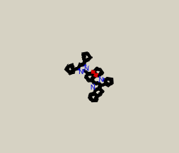 c1ccc(-c2cc(-c3ccccc3)nc(-c3ccc(-c4nc5c6ccccc6ccc5c5c6ccccc6n(-c6ccccc6)c45)cc3)n2)cc1